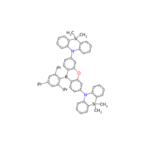 CC(C)c1cc(C(C)C)c(B2c3ccc(N4c5ccccc5[Si](C)(C)c5ccccc54)cc3Oc3cc(N4c5ccccc5[Si](C)(C)c5ccccc54)ccc32)c(C(C)C)c1